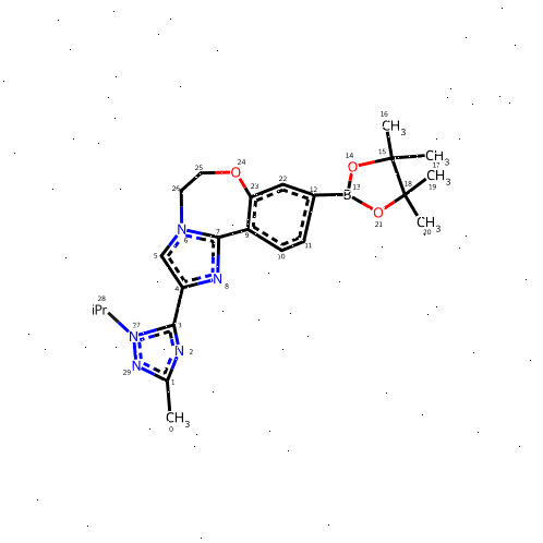 Cc1nc(-c2cn3c(n2)-c2ccc(B4OC(C)(C)C(C)(C)O4)cc2OCC3)n(C(C)C)n1